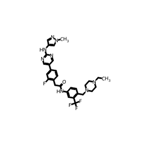 CCN1CCN(Cc2ccc(NC(=O)Cc3ccc(-c4cnc(Nc5cnn(C)c5)nc4)cc3F)cc2C(F)(F)F)CC1